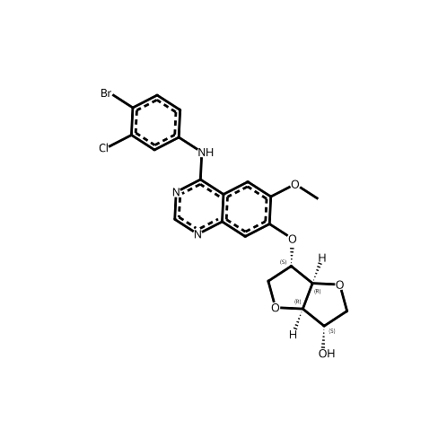 COc1cc2c(Nc3ccc(Br)c(Cl)c3)ncnc2cc1O[C@H]1CO[C@H]2[C@@H]1OC[C@@H]2O